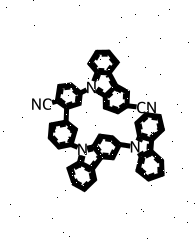 N#Cc1ccc2c(c1)c1ccccc1n2-c1ccc(C#N)c(-c2cccc(-n3c4ccccc4c4cc(-n5c6ccccc6c6ccccc65)ccc43)c2)c1